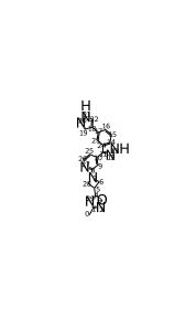 Cc1noc(C2CN(c3cc(-c4n[nH]c5ccc(-c6cn[nH]c6)cc45)ccn3)C2)n1